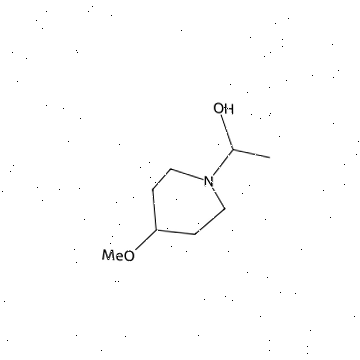 COC1CCN(C(C)O)CC1